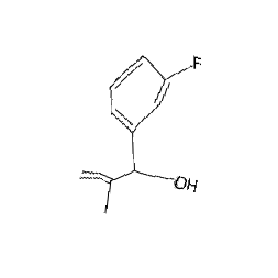 C=C(C)C(O)c1cccc(F)c1